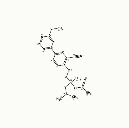 CCc1cc(-c2ccc(OCC(C)(CC(C)C)OC(N)=O)c(C#N)c2)ncn1